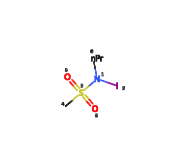 CCCN(I)S(C)(=O)=O